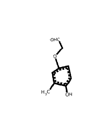 Cc1cc(OC[C]=O)ccc1O